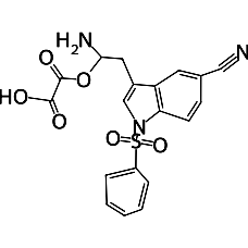 N#Cc1ccc2c(c1)c(CC(N)OC(=O)C(=O)O)cn2S(=O)(=O)c1ccccc1